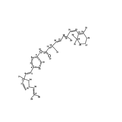 C=CC(C)(/C=C/c1ccc(OC(=O)/C=C(C)/C=C/C=C(C)/C=C\C2=C(C)CCCC2(C)C)cc1)CCC=C(C)C